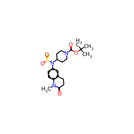 CN1C(=O)CCc2cc(N(C3CCN(C(=O)OC(C)(C)C)CC3)[SH](=O)=O)ccc21